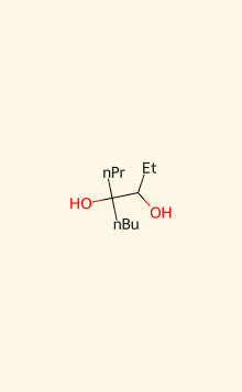 [CH2]CCCC(O)(CCC)C(O)CC